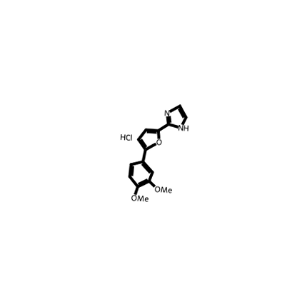 COc1ccc(-c2ccc(-c3ncc[nH]3)o2)cc1OC.Cl